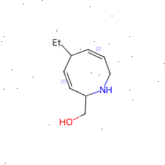 CCC1/C=C\CNC(CO)/C=C\1